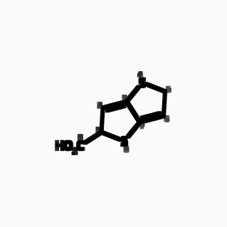 O=C(O)C1C=C2SCC=C2S1